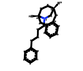 c1ccc(CCCCN2C[C@@H]3CC[C@H]2Cc2ccccc2C3)cc1